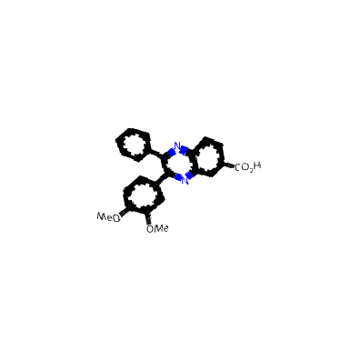 COc1ccc(-c2nc3cc(C(=O)O)ccc3nc2-c2ccccc2)cc1OC